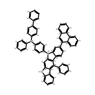 c1ccc(-c2ccc(N(c3ccccc3)c3ccc(-n4c5cc(-c6cc7ccccc7c7ccccc67)ccc5c5c(-c6ccccc6)c6c(cc54)oc4ccccc46)cc3)cc2)cc1